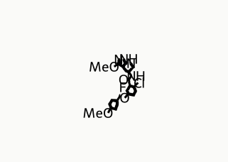 COc1ccc(COc2ccc(Cl)c(C(=O)Nc3cnc4[nH]nc(OC)c4c3)c2F)cc1